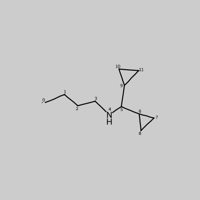 [CH2]CCCNC(C1CC1)C1CC1